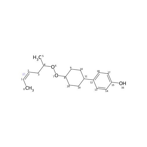 C/C=C\CC(C)OOC1CCC(c2ccc(O)cc2)CC1